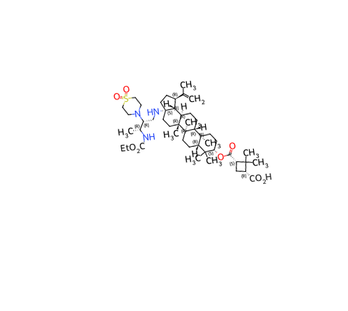 C=C(C)[C@@H]1CC[C@]2(NC[C@H]([C@@H](C)NC(=O)OCC)N3CCS(=O)(=O)CC3)CC[C@]3(C)[C@H](CC[C@@H]4[C@@]5(C)CC[C@H](OC(=O)[C@H]6C[C@@H](C(=O)O)C6(C)C)C(C)(C)[C@@H]5CC[C@]43C)[C@@H]12